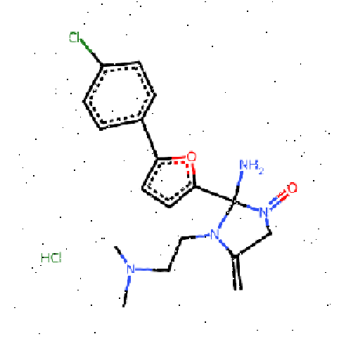 C=C1C[N+](=O)C(N)(c2ccc(-c3ccc(Cl)cc3)o2)N1CCN(C)C.Cl